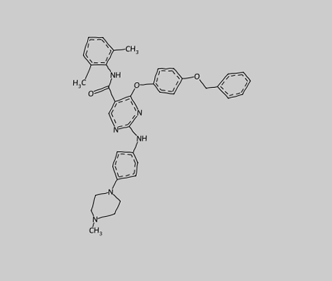 Cc1cccc(C)c1NC(=O)c1cnc(Nc2ccc(N3CCN(C)CC3)cc2)nc1Oc1ccc(OCc2ccccc2)cc1